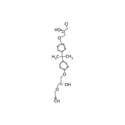 C#CCOC[C@@H](O)COc1ccc(C(C)(C)c2ccc(OC[C@@H](O)CCl)cc2)cc1